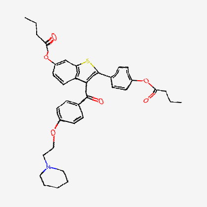 CCCC(=O)Oc1ccc(-c2sc3cc(OC(=O)CCC)ccc3c2C(=O)c2ccc(OCCN3CCCCC3)cc2)cc1